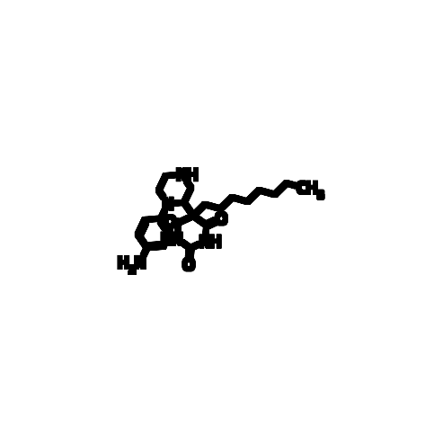 CCCCCCCCC1(C2CNCCN2c2ccc(N)cc2)C(=O)NC(=O)NC1=O